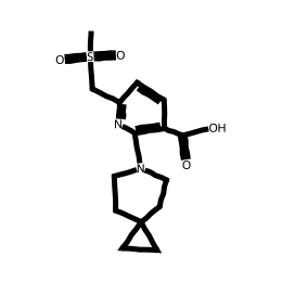 CS(=O)(=O)Cc1ccc(C(=O)O)c(N2CCC3(CC2)CC3)n1